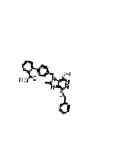 Cc1nc2c(OCc3ccccc3)nnc(O)c2n1Cc1ccc(-c2ccccc2C(=O)O)cc1